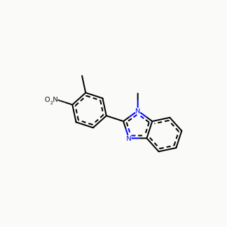 Cc1cc(-c2nc3ccccc3n2C)ccc1[N+](=O)[O-]